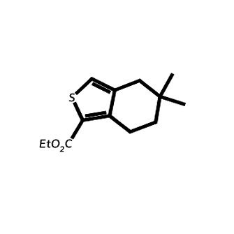 CCOC(=O)c1scc2c1CCC(C)(C)C2